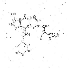 CCn1ncc2c(NCC3CCCCC3)c3cc(OC(C)C(=O)O)ccc3nc21